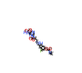 O=C1COc2ncc(N3CC(CCNCC4Cc5cc(OCC(=O)N6CCC6)cc(F)c5C4)OC3=O)nc2N1